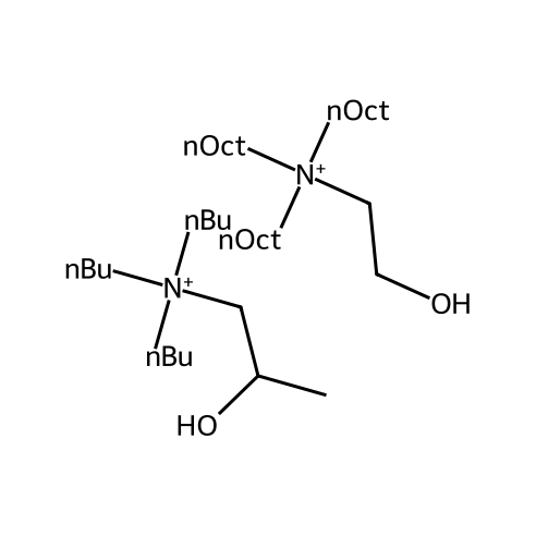 CCCCCCCC[N+](CCO)(CCCCCCCC)CCCCCCCC.CCCC[N+](CCCC)(CCCC)CC(C)O